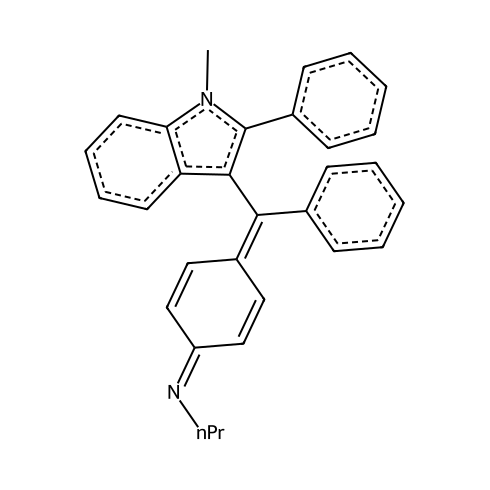 CCCN=C1C=CC(=C(c2ccccc2)c2c(-c3ccccc3)n(C)c3ccccc23)C=C1